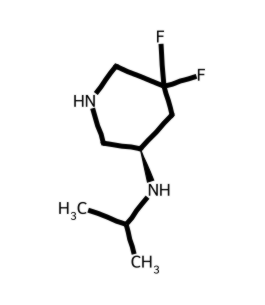 CC(C)N[C@H]1CNCC(F)(F)C1